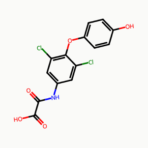 O=C(O)C(=O)Nc1cc(Cl)c(Oc2ccc(O)cc2)c(Cl)c1